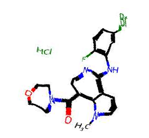 Cl.Cn1ccc2c(Nc3cc(Br)ccc3F)ncc(C(=O)N3CCOCC3)c21